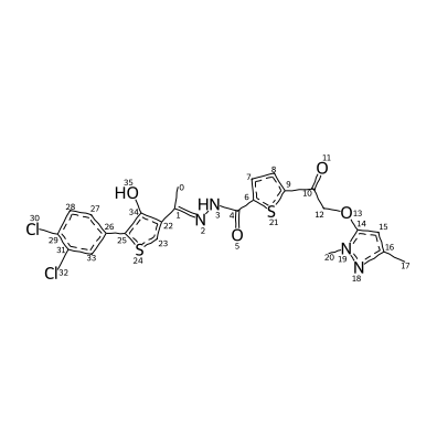 C/C(=N\NC(=O)c1ccc(C(=O)COc2cc(C)nn2C)s1)c1csc(-c2ccc(Cl)c(Cl)c2)c1O